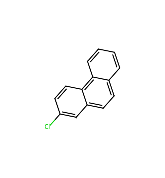 Clc1[c]c2ccc3ccccc3c2cc1